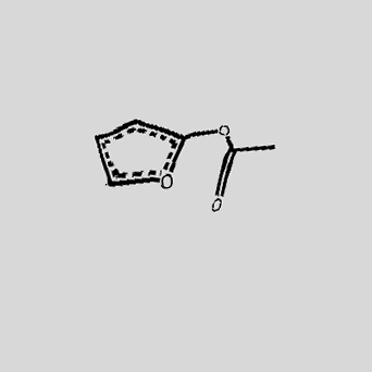 CC(=O)Oc1cc[c]o1